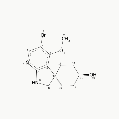 COc1c(Br)cnc2c1[C@]1(CC[C@H](O)CC1)CN2